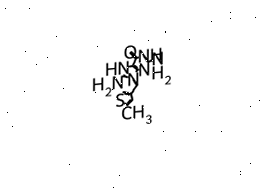 Cc1cc(CN2c3nc(N)[nH]c(=O)c3NC2N)cs1